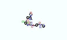 Cc1cc(N2CCOCC2)c2cccc(OCc3c(Cl)ccc(N(C)C(=O)CNC(=O)/C=C/c4ccc(C(=O)NCc5ccccn5)cc4)c3Cl)c2n1